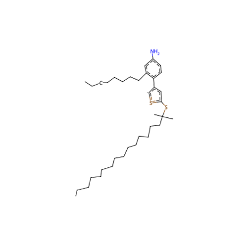 CCCCCCCCCCCCCCCC(C)(C)Sc1cc(-c2ccc(N)cc2CCCCCCCC)[c]s1